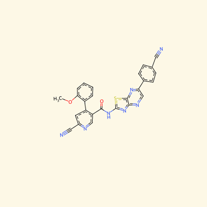 COc1ccccc1-c1cc(C#N)ncc1C(=O)Nc1nc2ncc(-c3ccc(C#N)cc3)nc2s1